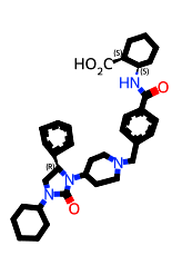 O=C(N[C@H]1CCCC[C@@H]1C(=O)O)c1ccc(CN2CCC(N3C(=O)N(C4CCCCC4)C[C@H]3c3ccccc3)CC2)cc1